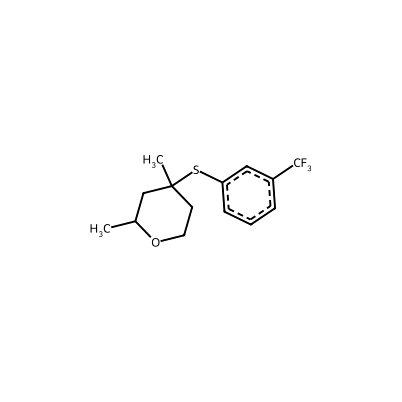 CC1CC(C)(Sc2cccc(C(F)(F)F)c2)CCO1